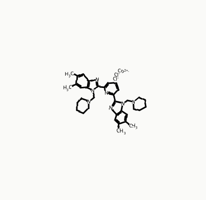 Cc1cc2nc(-c3cccc(-c4nc5cc(C)c(C)cc5n4CN4CCCCC4)n3)n(CN3CCCCC3)c2cc1C.[Cl-].[Cl-].[Co+2]